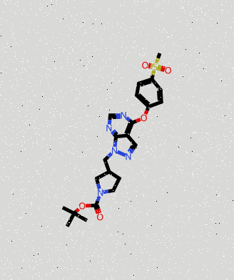 CC(C)(C)OC(=O)N1CCC(Cn2ncc3c(Oc4ccc(S(C)(=O)=O)cc4)ncnc32)C1